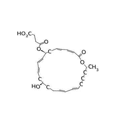 C[C@@H]1CCC/C=C/C=C/CC[C@@H](O)C/C=C\C=C\[C@@H](OC(=O)CCC(=O)O)C/C=C/C=C\C(=O)O1